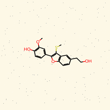 COc1cc(-c2oc3ccc(CCO)cc3c2SC)ccc1O